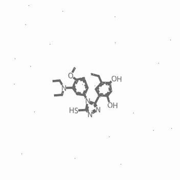 CCc1cc(-c2nnc(S)n2-c2ccc(OC)c(N(CC)CC)c2)c(O)cc1O